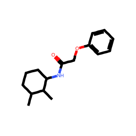 CC1CCCC(NC(=O)COc2ccccc2)C1C